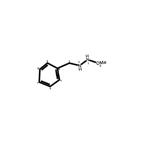 CONNCc1ccccc1